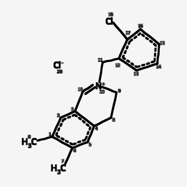 Cc1cc2c(cc1C)CC[N+](Cc1ccccc1Cl)=C2.[Cl-]